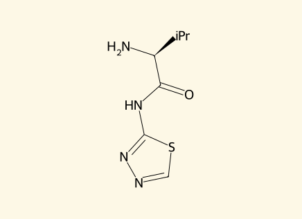 CC(C)[C@H](N)C(=O)Nc1nncs1